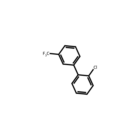 FC(F)(F)c1cccc(-c2ccccc2Cl)c1